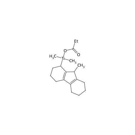 CCC(=O)[O][Ti]([CH3])([CH3])[CH]1CCCC2=C1C(C)C1=C2CCCC1